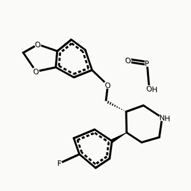 Fc1ccc([C@@H]2CCNC[C@H]2COc2ccc3c(c2)OCO3)cc1.O=PO